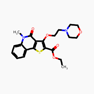 CCOC(=O)c1sc2c(c1OCCN1CCOCC1)c(=O)n(C)c1ccccc21